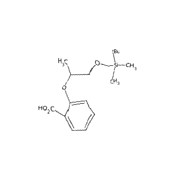 CC(CO[Si](C)(C)C(C)(C)C)Oc1ccccc1C(=O)O